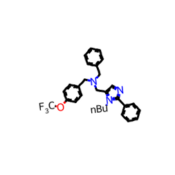 CCCCn1c(CN(Cc2ccccc2)Cc2ccc(OC(F)(F)F)cc2)cnc1-c1ccccc1